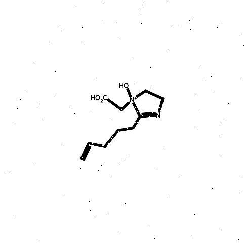 C=CCCCC1=NCC[N+]1(O)CC(=O)O